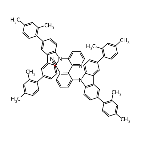 Cc1ccc(-c2ccc3c(c2)c2cc(-c4ccc(C)cc4C)ccc2n3-c2cccnc2-c2c(C#N)cccc2-n2c3ccc(-c4ccc(C)cc4C)cc3c3cc(-c4ccc(C)cc4C)ccc32)c(C)c1